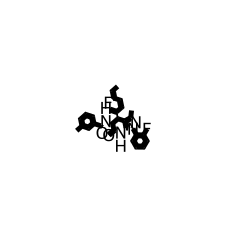 C=C(/C=C\C(F)=C/C)[C@H]1c2c(C)nn(-c3ccccc3F)c2NC(=O)[C@H]1NC(=O)c1cccc(C)c1